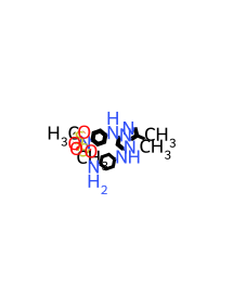 CC(C)c1cnn2c(Nc3ccc(N(S(C)(=O)=O)S(C)(=O)=O)cc3)cc(NC3CCC(N)CC3)nc12